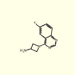 NC1CN(c2ncnc3ccc(F)cc23)C1